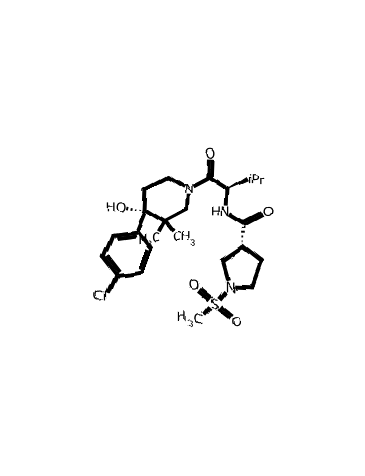 CC(C)[C@@H](NC(=O)[C@@H]1CCN(S(C)(=O)=O)C1)C(=O)N1CC[C@](O)(c2ccc(Cl)cc2)C(C)(C)C1